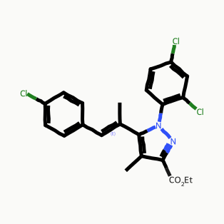 CCOC(=O)c1nn(-c2ccc(Cl)cc2Cl)c(/C(C)=C/c2ccc(Cl)cc2)c1C